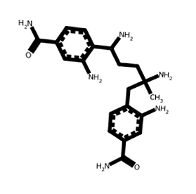 CC(N)(CCC(N)c1ccc(C(N)=O)cc1N)Cc1ccc(C(N)=O)cc1N